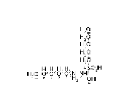 N.N.O.O.O.O.O.O.O.O.O.O.O=S(=O)(O)O